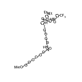 CCN(CC)c1ccc(NC(=O)c2cccc(CCCOCCOCCOCCOCCNC(=O)N(C)CCOCCOCCOCCOCCOCCOCCOC)c2)c(-c2cc(C(=O)NCc3cccc(C(F)(F)F)c3)ccn2)c1